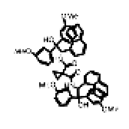 COc1cccc(C(O)(c2cccc(OC)c2)[C@@H](NC(=O)C2(C(=O)N[C@@H](c3cccc4ccccc34)C(O)(c3cccc(OC)c3)c3cccc(OC)c3)CC2)c2cccc3ccccc23)c1